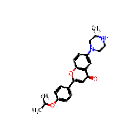 CC(C)Oc1ccc(-c2cc(=O)c3cc(N4CCN[C@@H](C)C4)ccc3o2)cc1